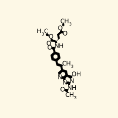 CCOC(=O)CC[C@H](NC(=O)c1ccc(/C=C(\C)c2cnc3nc(NC(C)=O)nc(O)c3c2)cc1)C(=O)OCC